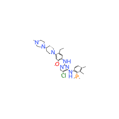 CCc1cc(Nc2ncc(Cl)c(Nc3ccc(C)c(C)c3P(C)C)n2)c(OC)cc1N1CCC(N2CCN(C)CC2)CC1